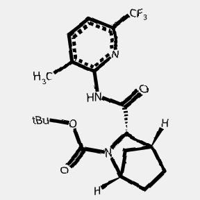 Cc1ccc(C(F)(F)F)nc1NC(=O)[C@@H]1[C@@H]2CC[C@@H](C2)N1C(=O)OC(C)(C)C